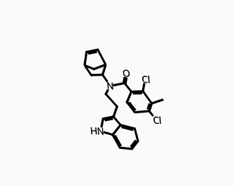 Cc1c(Cl)ccc(C(=O)N(CCc2c[nH]c3ccccc23)C2CC3C=CC2C3)c1Cl